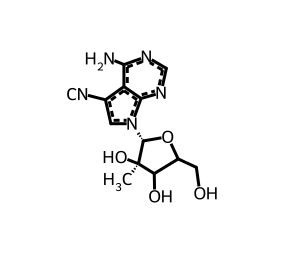 [C-]#[N+]c1cn([C@@H]2OC(CO)C(O)[C@@]2(C)O)c2ncnc(N)c12